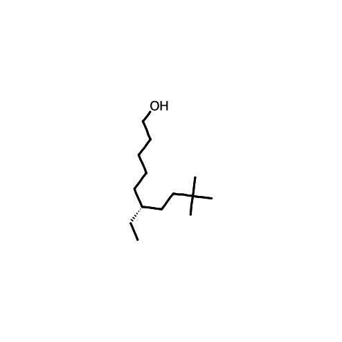 CC[C@H](CCCCCO)CCC(C)(C)C